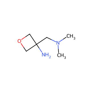 CN(C)CC1(N)COC1